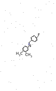 Cc1ccc(/N=C/c2ccc(F)cc2)cc1C